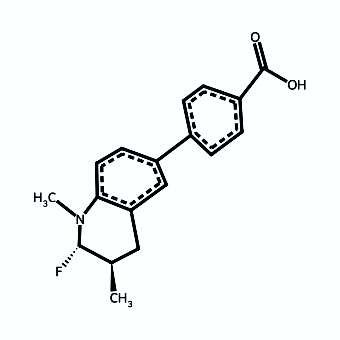 C[C@@H]1Cc2cc(-c3ccc(C(=O)O)cc3)ccc2N(C)[C@H]1F